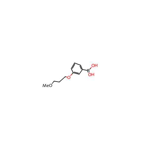 COCCCOc1cccc(B(O)O)c1